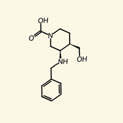 O=C(O)N1CC[C@@H](CO)[C@@H](NCc2ccccc2)C1